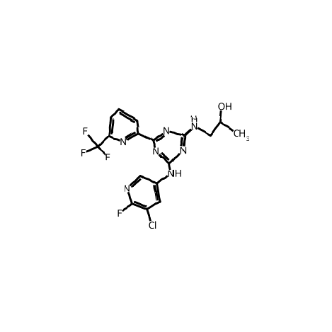 CC(O)CNc1nc(Nc2cnc(F)c(Cl)c2)nc(-c2cccc(C(F)(F)F)n2)n1